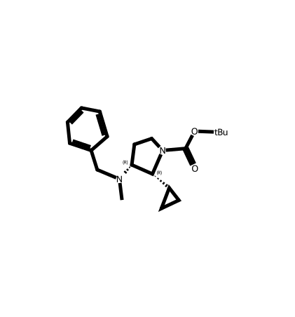 CN(Cc1ccccc1)[C@@H]1CCN(C(=O)OC(C)(C)C)[C@@H]1C1CC1